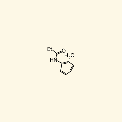 CCC(=O)Nc1ccccc1.O